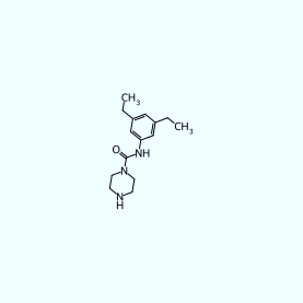 CCc1cc(CC)cc(NC(=O)N2CCNCC2)c1